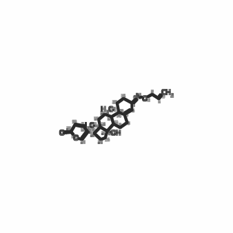 C=CCON=C1C=C2CCC3C(CC[C@]4(C)[C@@H](c5ccc(=O)oc5)CC[C@]34O)[C@@]2(C)CC1